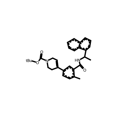 Cc1ccc(C2=CCN(C(=O)OC(C)(C)C)CC2)cc1C(=O)NC(C)c1cccc2ccccc12